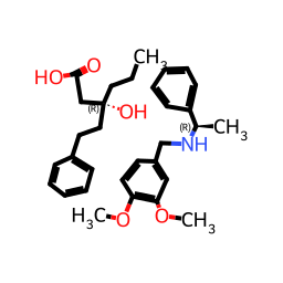 CCC[C@@](O)(CCc1ccccc1)CC(=O)O.COc1ccc(CN[C@H](C)c2ccccc2)cc1OC